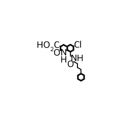 O=C(CCCc1ccccc1)NCc1cc(Cl)cc2cc(C(=O)O)c(=O)[nH]c12